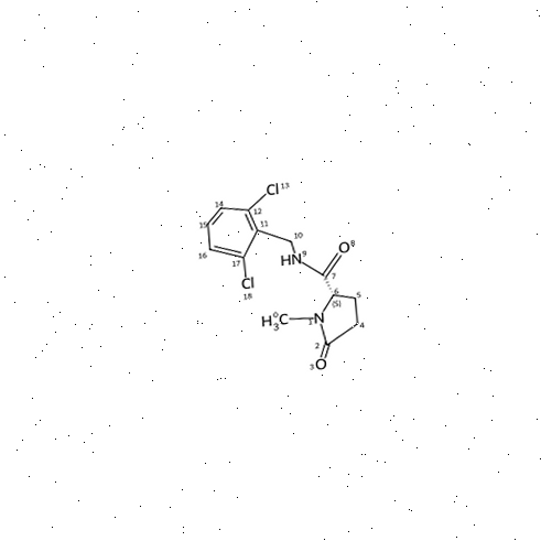 CN1C(=O)CC[C@H]1C(=O)NCc1c(Cl)cccc1Cl